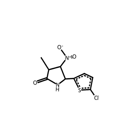 CC1C(=O)NC(c2ccc(Cl)s2)C1[N+](=O)[O-]